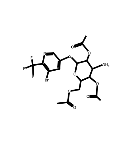 CC(=O)OCC1OC(Sc2cnc(C(F)(F)F)c(Br)c2)C(OC(C)=O)C(N)C1OC(C)=O